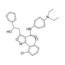 CCN(CC)c1ccc(NC(=O)c2c(-c3c(Cl)cccc3Cl)noc2CC(O)c2ccccc2)cc1